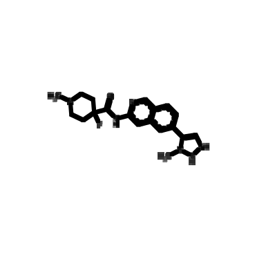 CN1CCC(F)(C(=O)Nc2cc3cc(C4=CNNN4C)ccc3cn2)CC1